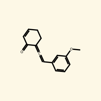 COc1cccc(C=C=C2CCC=CC2=O)c1